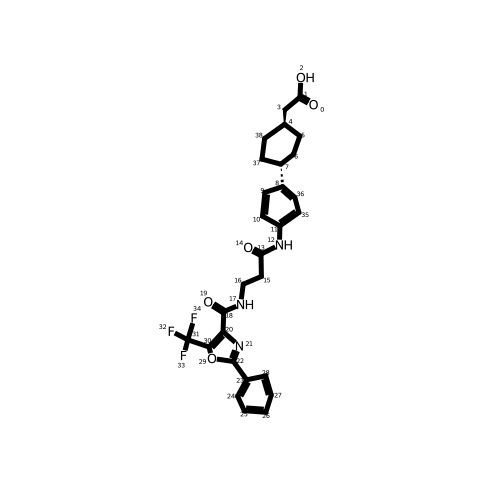 O=C(O)C[C@H]1CC[C@H](c2ccc(NC(=O)CCNC(=O)c3nc(-c4ccccc4)oc3C(F)(F)F)cc2)CC1